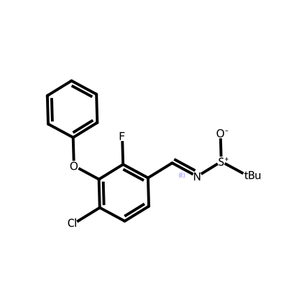 CC(C)(C)[S+]([O-])/N=C/c1ccc(Cl)c(Oc2ccccc2)c1F